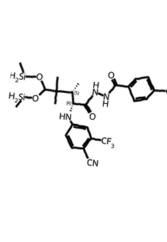 C[SiH2]OC(O[SiH2]C)C(C)(C)[C@H](C)[C@@H](Nc1ccc(C#N)c(C(F)(F)F)c1)C(=O)NNC(=O)c1ccc(C#N)cc1